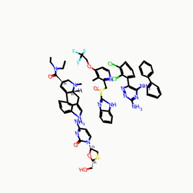 CCN(CC)C(=O)[C@@H]1C=C2c3cccc4[nH]cc(c34)C[C@H]2N(C)C1.Cc1c(OCC(F)(F)F)ccnc1C[S+]([O-])c1nc2ccccc2[nH]1.Nc1ccn([C@@H]2CS[C@H](CO)O2)c(=O)n1.Nc1nnc(-c2cccc(Cl)c2Cl)c(N)n1.c1ccc(-c2ccccc2)cc1